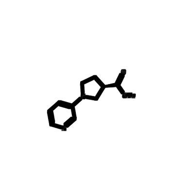 COC(=O)[C@@H]1CCN(c2cccnc2)C1